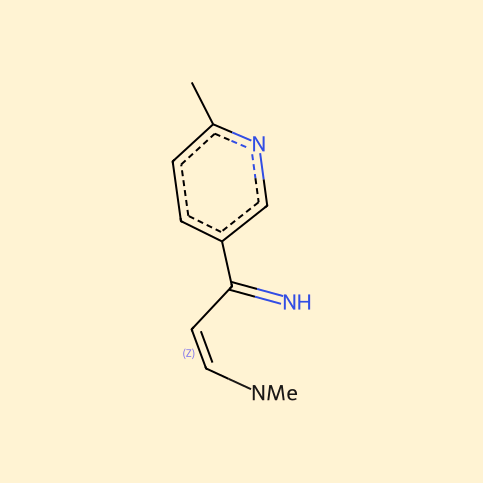 CN/C=C\C(=N)c1ccc(C)nc1